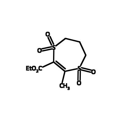 CCOC(=O)C1=C(C)S(=O)(=O)CCCS1(=O)=O